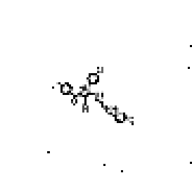 COc1ccc(CNCCCNc2c(C#N)c(C(=O)c3ccc(C)cc3)nn2-c2ccc(Cl)cc2)nc1